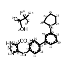 O=C(O)C(F)(F)F.O=C(O)c1[nH]nnc1Sc1ccc(-c2cccc(N3CCCCC3)c2)cc1